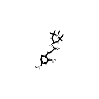 COc1ccc(C=CC(=O)OC2CC(C)(C)N(C)C(C)(C)C2)c(C#N)c1